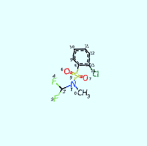 CN(C(F)F)S(=O)(=O)c1ccccc1Cl